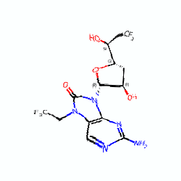 Nc1ncc2c(n1)n([C@@H]1O[C@H]([C@@H](O)C(F)(F)F)C[C@H]1O)c(=O)n2CC(F)(F)F